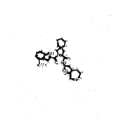 COc1cccc2[nH]c(C(=O)N3CC4(CCCCC4)CC3C(=O)NC(C#N)CC3CCCNCC3=O)cc12